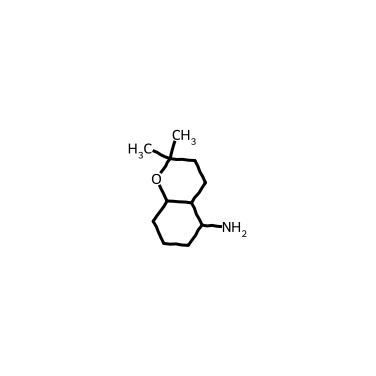 CC1(C)CCC2C(N)CCCC2O1